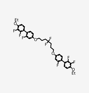 CCOc1ccc(-c2ccc(OCCCC(F)(F)CCCOc3ccc(-c4ccc(OCC)c(F)c4F)c(F)c3)cc2F)c(F)c1F